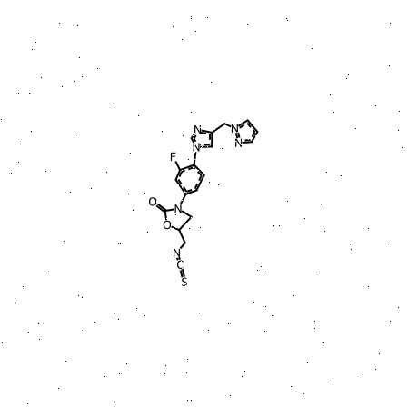 O=C1OC(CN=C=S)CN1c1ccc(-n2cnc(Cn3cccn3)c2)c(F)c1